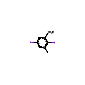 Cc1cc(I)cc(C(=O)O)c1I